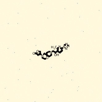 Cc1nc(-n2cnnn2)ccc1C(O)CN1CCC2(CC1)CN(C1=CC(=O)OC1)CCO2